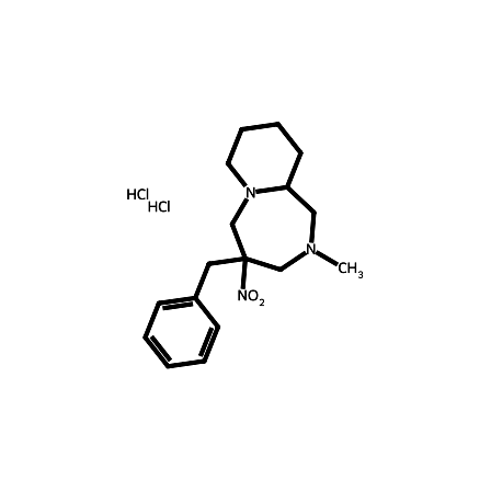 CN1CC2CCCCN2CC(Cc2ccccc2)([N+](=O)[O-])C1.Cl.Cl